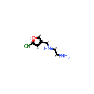 NCCNCc1coc(Cl)c1